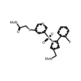 CNCc1cc(-c2ccccc2F)n(S(=O)(=O)c2cncc(SCC(=O)NC)c2)c1